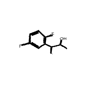 [CH2]C(c1cc(F)ccc1F)C(C)O